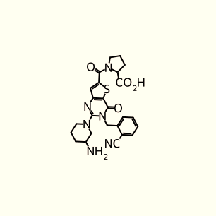 N#Cc1ccccc1Cn1c(N2CCCC(N)C2)nc2cc(C(=O)N3CCCC3C(=O)O)sc2c1=O